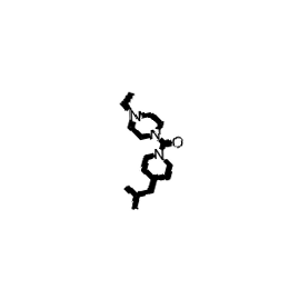 CCN1CCN(C(=O)N2CCC(CC(C)C)CC2)CC1